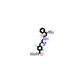 CNC(=O)c1cc(F)c(C[C@@H](CNC(=O)C[C@@H](c2ccccc2)C(C)(C)C)N(C)C)cc1F